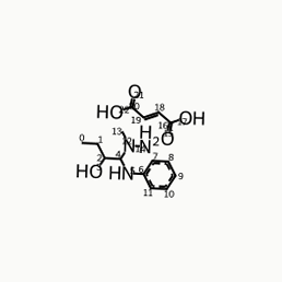 CCC(O)C(Nc1ccccc1)N(C)N.O=C(O)C=CC(=O)O